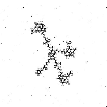 CC(=O)NC1C(OCCCCCC(=O)NCCCCC(NC(=O)CCCCCOC2OC(COC(C)=O)C(OC(C)=O)C(OC(C)=O)C2NC(C)=O)C(=O)NC(CCCCNC(=O)CCCCCOC2OC(COC(C)=O)C(OC(C)=O)C(OC(C)=O)C2NC(C)=O)C(=O)NCCCCCC(=O)OCc2ccccc2)OC(COC(C)=O)C(OC(C)=O)C1OC(C)=O